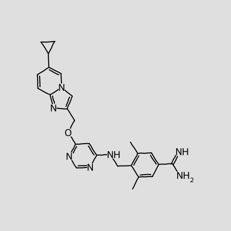 Cc1cc(C(=N)N)cc(C)c1CNc1cc(OCc2cn3cc(C4CC4)ccc3n2)ncn1